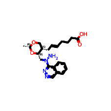 C[C@@H]1OC[C@H](CC=CCCCC(=O)O)[C@H](CN(N)c2nncc3ccccc23)O1